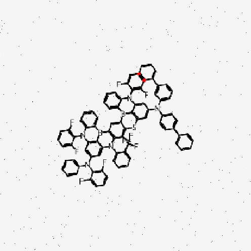 Fc1cccc(F)c1N(c1ccccc1)c1cc2c3c(c1)N(c1ccccc1C(F)(F)F)c1c(cc4c(c1F)Sc1cc(N(c5ccc(-c6ccccc6)cc5)c5cccc(-c6ccccc6)c5)cc5c1B4c1ccccc1N5c1c(F)cccc1F)B3c1ccccc1N2c1c(F)cccc1F